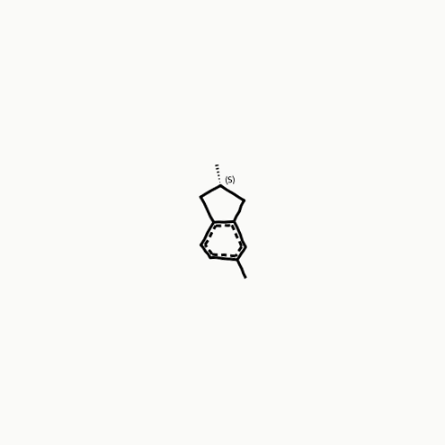 Cc1ccc2c(c1)C[C@@H](C)C2